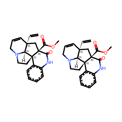 C=C[C@]12C=CCN3CC[C@@]4(c5ccccc5NC(=O)[C@@]4(C(=O)OC)C1)[C@@H]32.C=C[C@]12C=CCN3CC[C@@]4(c5ccccc5NC(=O)[C@@]4(C(=O)OC)C1)[C@@H]32